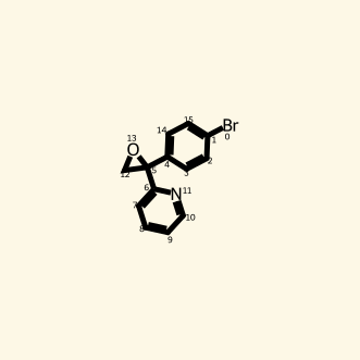 Brc1ccc(C2(c3ccccn3)CO2)cc1